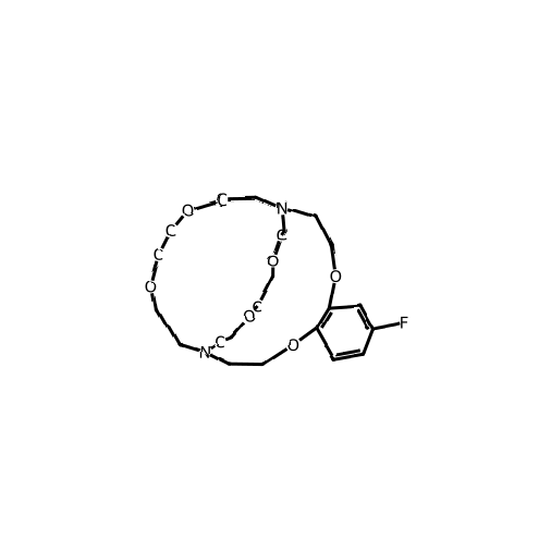 Fc1ccc2c(c1)OCCN1CCOCCOCCN(CCOCCOCC1)CCO2